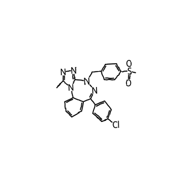 Cc1nnc2n1-c1ccccc1C(c1ccc(Cl)cc1)=NN2Cc1ccc(S(C)(=O)=O)cc1